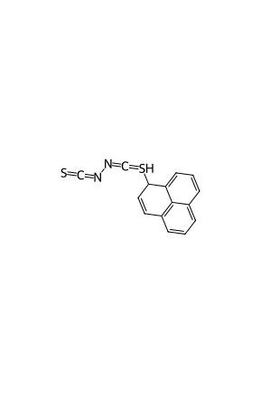 S=C=NN=C=[SH]C1C=Cc2cccc3cccc1c23